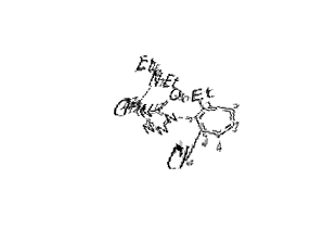 CCc1cccc(Cl)c1-n1nnn(C(=O)N(CC)CC)c1=O